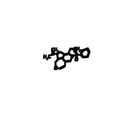 C=CC1=C2CC(N(C)C)C3=C2C(=CN1S(=O)(=O)c1ccccc1)C=COC3